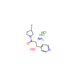 Cl.Cl.N[C@@H](C(=O)N1CC[C@@H](F)C1)[C@@H](O)c1ccncc1